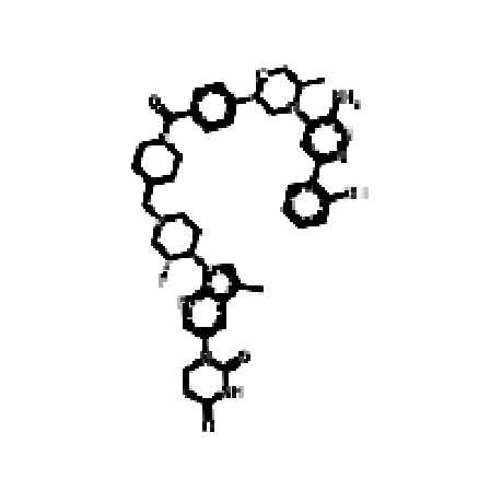 Cc1cn([C@@H]2CCN(CC3CCN(C(=O)c4ccc([C@@H]5CN(c6cc(-c7ccccc7O)nnc6N)[C@H](C)CO5)cc4)CC3)C[C@H]2F)c2ncc(N3CCC(=O)NC3=O)cc12